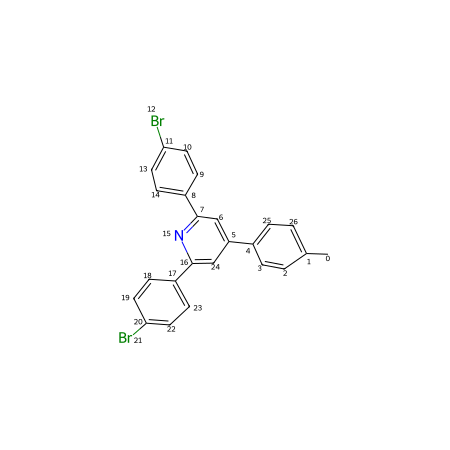 Cc1ccc(-c2cc(-c3ccc(Br)cc3)nc(-c3ccc(Br)cc3)c2)cc1